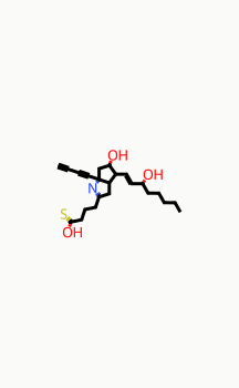 C#CC#CC12CC(O)C(C=CC(O)CCCCC)C1CC(CCCC(O)=S)=N2